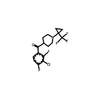 O=C(c1ccc(F)c(Cl)c1F)C1CCN(C2(C(F)(F)F)CC2)CC1